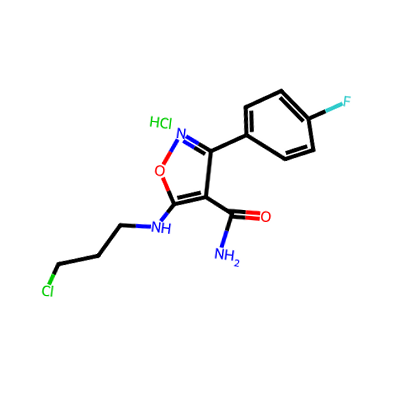 Cl.NC(=O)c1c(-c2ccc(F)cc2)noc1NCCCCl